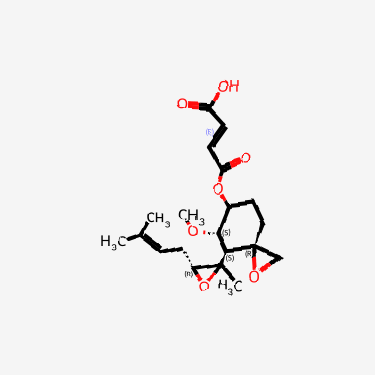 CO[C@@H]1C(OC(=O)/C=C/C(=O)O)CC[C@]2(CO2)[C@H]1C1(C)O[C@@H]1CC=C(C)C